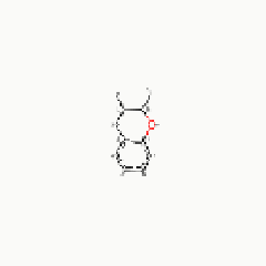 CC1[C]c2ccccc2OC1C